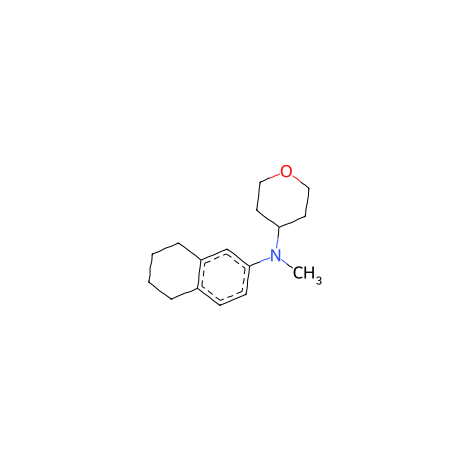 CN(c1ccc2c(c1)CCCC2)C1CCOCC1